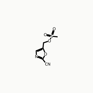 CS(=O)(=O)OCc1cnc(C#N)o1